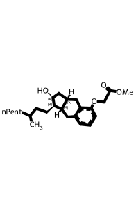 CCCCCC(C)CC[C@@H]1[C@H]2Cc3cccc(OCC(=O)OC)c3C[C@H]2C[C@H]1O